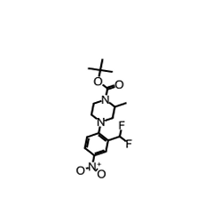 CC1CN(c2ccc([N+](=O)[O-])cc2C(F)F)CCN1C(=O)OC(C)(C)C